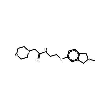 CN1Cc2ccc(OCCNC(=O)CN3CCOCC3)cc2C1